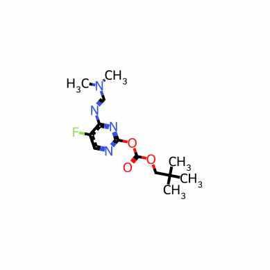 CN(C)/C=N/c1nc(OC(=O)OCC(C)(C)C)ncc1F